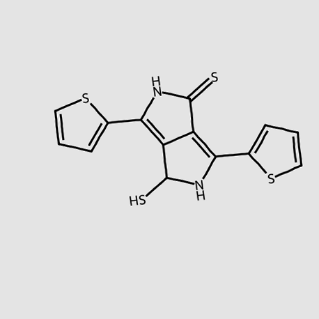 S=C1NC(c2cccs2)=C2C1=C(c1cccs1)NC2S